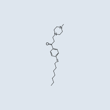 CCCCCCCSc1ccc(C(=O)CCN2CCN(C)CC2)cc1